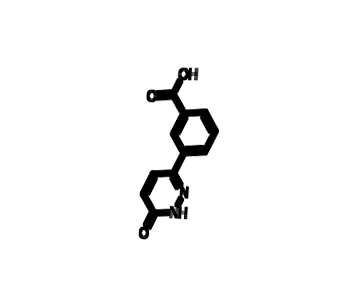 O=C(O)c1cccc(-c2ccc(=O)[nH]n2)c1